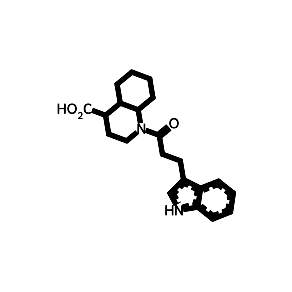 O=C(O)C1CCN(C(=O)CCc2c[nH]c3ccccc23)C2CCCCC12